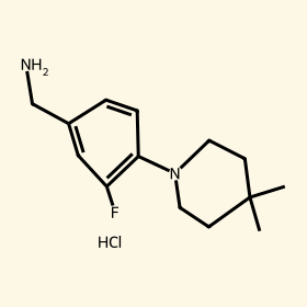 CC1(C)CCN(c2ccc(CN)cc2F)CC1.Cl